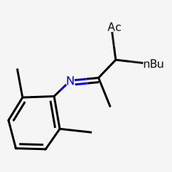 CCCCC(C(C)=O)C(C)=Nc1c(C)cccc1C